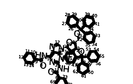 O=C(Nc1nc(NC(=O)c2ccccc2)c2ncn([C@@H]3O[C@H](COC(c4ccccc4)(c4ccccc4)c4ccccc4)[C@@H](OC(c4ccccc4)(c4ccccc4)c4ccccc4)[C@H]3F)c2n1)c1ccccc1